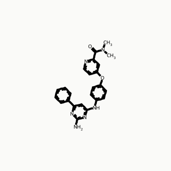 CN(C)C(=O)c1cc(Oc2ccc(Nc3cc(-c4ccccc4)nc(N)n3)cc2)ccn1